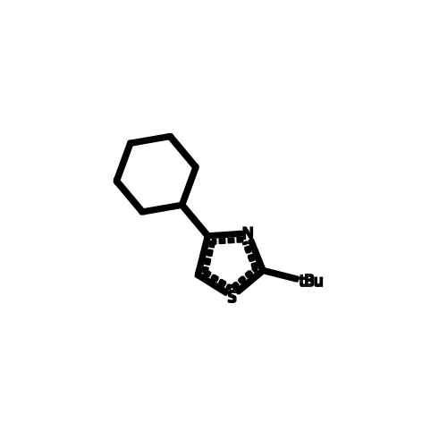 CC(C)(C)c1nc(C2CCCCC2)cs1